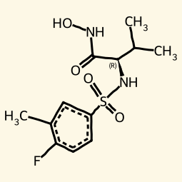 Cc1cc(S(=O)(=O)N[C@@H](C(=O)NO)C(C)C)ccc1F